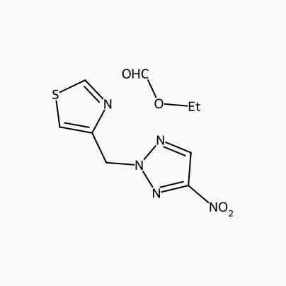 CCOC=O.O=[N+]([O-])c1cnn(Cc2cscn2)n1